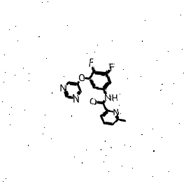 Cc1cccc(C(=O)Nc2cc(F)c(F)c(Oc3cncnc3)c2)n1